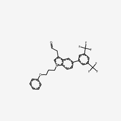 O=CCc1cn(CCCOc2ccccc2)c2ccc(-c3cc(C(F)(F)F)cc(C(F)(F)F)c3)cc12